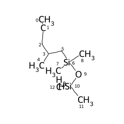 CCCC(C)C[Si](C)(C)O[SiH](C)C